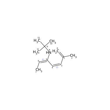 C=C(C)/C=C\C(=C/C)NC(C)(C)C